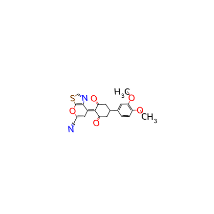 COc1ccc(C2CC(=O)C(=C3C=C(C#N)Oc4scnc43)C(=O)C2)cc1OC